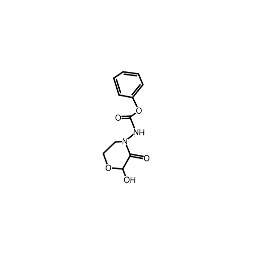 O=C(NN1CCOC(O)C1=O)Oc1ccccc1